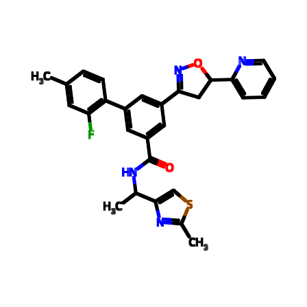 Cc1ccc(-c2cc(C(=O)NC(C)c3csc(C)n3)cc(C3=NOC(c4ccccn4)C3)c2)c(F)c1